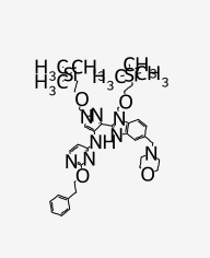 C[Si](C)(C)CCOCn1cc(Nc2ccnc(OCCc3ccccc3)n2)c(-c2nc3cc(CN4CCOCC4)ccc3n2COCC[Si](C)(C)C)n1